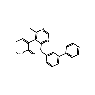 CC=C(C(=O)OC)c1c(C)ncnc1Oc1cccc(-c2ccccc2)c1